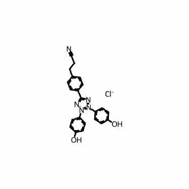 N#CCCc1ccc(-c2nn(-c3ccc(O)cc3)[n+](-c3ccc(O)cc3)n2)cc1.[Cl-]